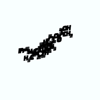 C=C(CO)C(=O)O[C@@H]1C=C2CC[C@@H]3[C@H](CC[C@]4(C)C([C@H](C)CCCC(C)C)CC[C@@H]34)[C@@]2(C)CC1